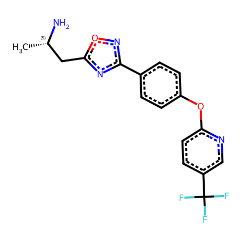 C[C@H](N)Cc1nc(-c2ccc(Oc3ccc(C(F)(F)F)cn3)cc2)no1